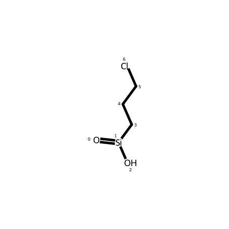 O=[Si](O)CCCCl